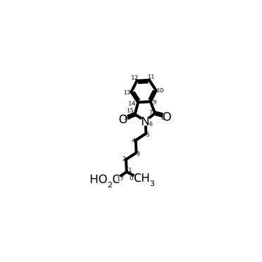 CC(CCCCN1C(=O)c2ccccc2C1=O)C(=O)O